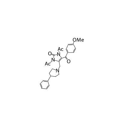 COc1ccc(C(=O)c2c(CN3CCC(c4ccccc4)CC3)n(C(C)=O)c(=O)n2C(C)=O)cc1